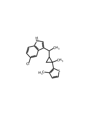 Cc1ccsc1C1(C)CC1C(C)c1c[nH]c2ccc(Cl)cc12